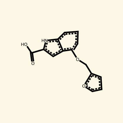 O=C(O)c1cc2c(OCc3ccco3)cccc2[nH]1